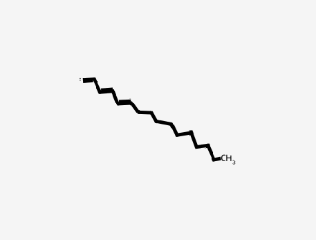 [C]=CC=CC=CCCCCCCCCCC